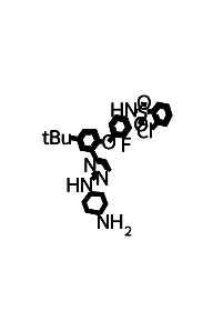 CC(C)(C)c1ccc(Oc2ccc(NS(=O)(=O)c3ccccc3Cl)cc2F)c(-c2ccnc(NC3CCC(N)CC3)n2)c1